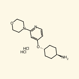 Cl.Cl.N[C@H]1CC[C@H](Oc2ccnc(N3CCOCC3)c2)CC1